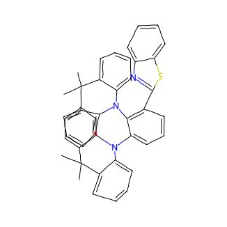 CC1(C)c2ccccc2N(c2cccc(-c3nc4ccccc4s3)c2N2c3ccccc3C(C)(C)c3ccccc32)c2ccccc21